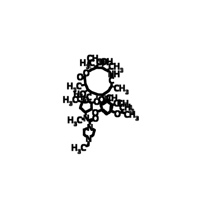 CC[C@H]1OC(=O)[C@H](C)[C@@H](O)[C@H](C)[C@@H](O[C@@H]2O[C@H](C)C[C@H](N(C)C(=O)N3CCN(CC)CC3)[C@H]2Oc2ccc(OC)c(OC(C)C)c2)[C@](C)(O)C[C@@H](C)CN[C@H](C)[C@@H](O)[C@]1(C)O